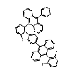 Fc1cccc(I)c1-c1c2ccccc2c(-c2ccc3c(c2)sc2cccc(-c4c5ccccc5c(-c5ccccc5)c5ccccc45)c23)c2ccccc12